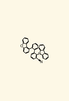 N#Cc1cccc(-c2ccccc2-c2cccc3oc4ccccc4c23)c1-n1c2ccccc2c2ccccc21